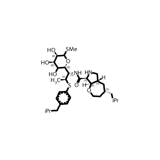 CSC1O[C@H]([C@H](NC(=O)[C@H]2NC[C@@H]3C[C@H](CC(C)C)CCO[C@H]32)[C@H](C)Sc2ccc(CC(C)C)cc2)C(O)[C@@H](O)[C@H]1O